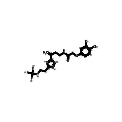 C=C(CCNC(=O)COc1ccc(Cl)c(F)c1)c1nnc(CCOC(F)(F)F)o1